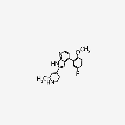 COc1ccc(F)cc1-c1ccnc2[nH]c(C3=CC(C)NCC3)cc12